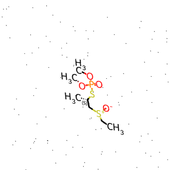 CC[S+]([O-])C[C@H](C)SP(=O)(OC)OC